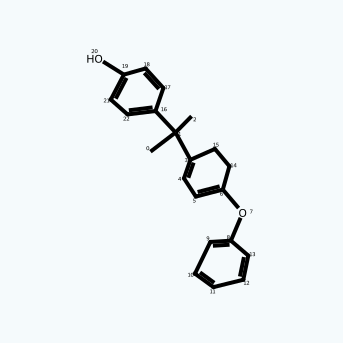 CC(C)(C1=CC=C(Oc2ccccc2)CC1)c1ccc(O)cc1